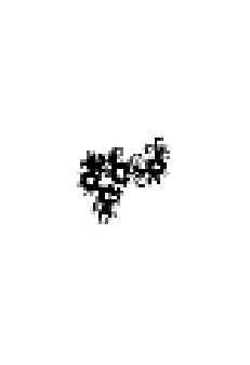 O=C([C@H](O)c1cccc(C(F)(F)F)c1)N1CCCc2nc(C3(c4cccc(-c5cncc(C(F)(F)F)c5)c4)CC3)[nH]c(=O)c2C1